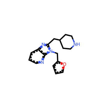 c1coc(Cn2c(CC3CCNCC3)nc3cccnc32)c1